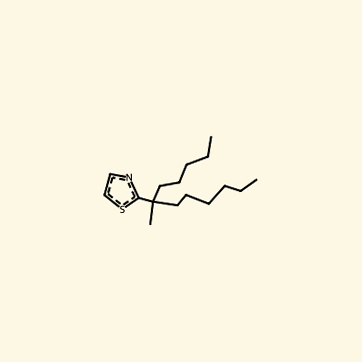 CCCCCCC(C)(CCCCC)c1nccs1